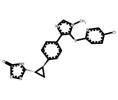 Cn1cnc(-c2ccc([C@H]3C[C@@H]3c3noc(=O)[nH]3)cc2)c1Sc1ccc(Cl)cn1